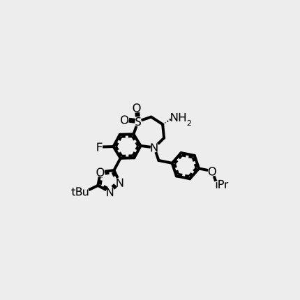 CC(C)Oc1ccc(CN2C[C@@H](N)CS(=O)(=O)c3cc(F)c(-c4nnc(C(C)(C)C)o4)cc32)cc1